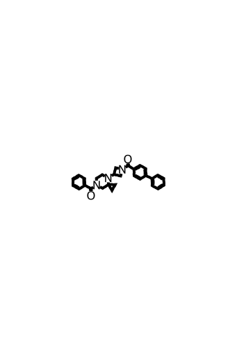 O=C(c1ccc(-c2ccccc2)cc1)N1CC(N2CCN(C(=O)c3ccccc3)CC23CC3)C1